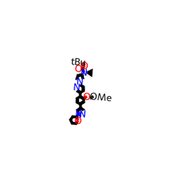 COCOc1cc(-c2cnn(C3CCCCO3)c2)ccc1-c1ccc(N2CC[C@@H](N(C(=O)OC(C)(C)C)C3CC3)C2)nc1